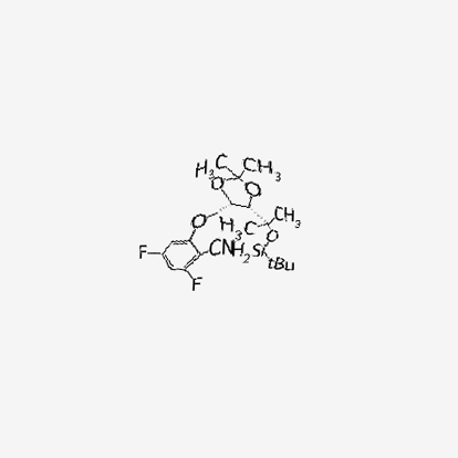 CC1(C)O[C@@H](COc2cc(F)cc(F)c2C#N)[C@@H](C(C)(C)O[SiH2]C(C)(C)C)O1